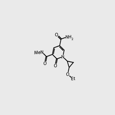 CCOC1CC1n1cc(C(N)=O)cc(C(=O)NC)c1=O